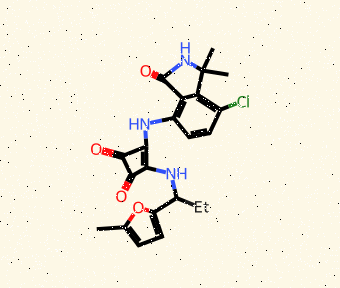 CCC(Nc1c(Nc2ccc(Cl)c3c2C(=O)NC3(C)C)c(=O)c1=O)c1ccc(C)o1